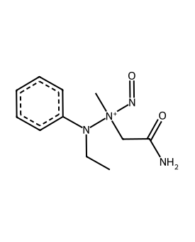 CCN(c1ccccc1)[N+](C)(CC(N)=O)N=O